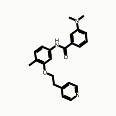 Cc1ccc(NC(=O)c2cccc(N(C)C)c2)cc1OCCc1ccncc1